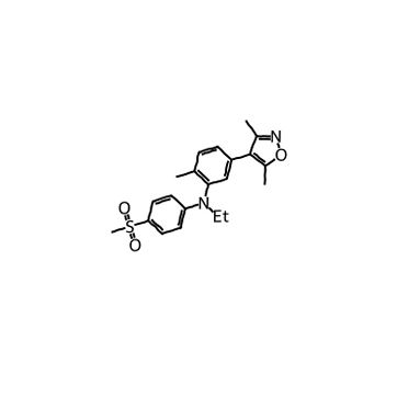 CCN(c1ccc(S(C)(=O)=O)cc1)c1cc(-c2c(C)noc2C)ccc1C